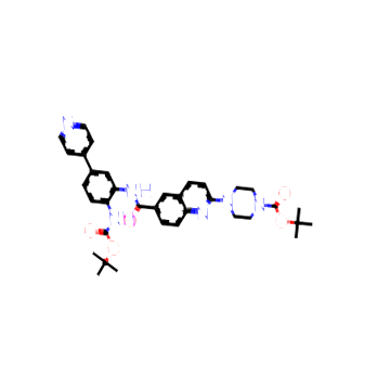 CC(C)(C)OC(=O)Nc1ccc(-c2ccncc2)cc1NC(=O)c1ccc2nc(N3CCN(C(=O)OC(C)(C)C)CC3)ccc2c1